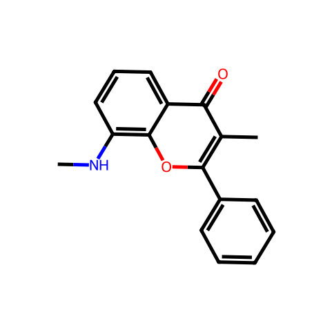 CNc1cccc2c(=O)c(C)c(-c3ccccc3)oc12